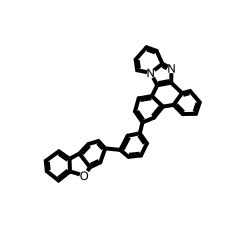 c1cc(-c2ccc3c(c2)oc2ccccc23)cc(-c2ccc3c(c2)c2ccccc2c2nc4ccccn4c32)c1